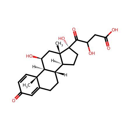 C[C@]12C=CC(=O)C=C1CC[C@@H]1[C@@H]2[C@@H](O)C[C@@]2(C)[C@H]1CC[C@]2(O)C(=O)C(O)CC(=O)O